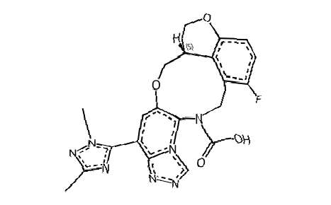 Cc1nc(-c2cc3c(n4cnnc24)N(C(=O)O)Cc2c(F)ccc4c2[C@@H](CO4)CO3)n(C)n1